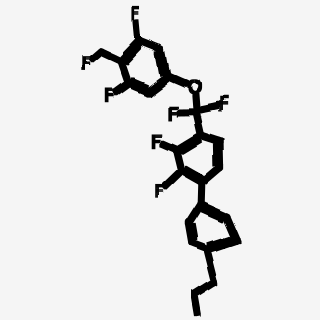 CCCc1ccc(-c2ccc(C(F)(F)Oc3cc(F)c(CF)c(F)c3)c(F)c2F)cc1